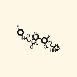 COc1cc(-c2cncc3c2n(C)c(=O)n3CC(=O)Nc2ccc(F)cc2)cc(F)c1OCc1nnc[nH]1